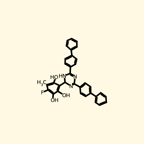 Cc1c(O)c(C2N=C(c3ccc(-c4ccccc4)cc3)N=C(c3ccc(-c4ccccc4)cc3)N2)c(O)c(O)c1F